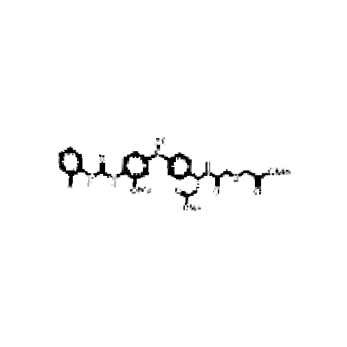 COC(=O)COCC(=O)N[C@H](CC(=O)OC)c1ccc(N(C(C)=O)c2ccc(NC(=O)Nc3ccccc3C)c(OC)c2)cc1